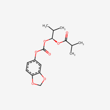 CC(C)C(=O)O[C@@H](OC(=O)Oc1ccc2c(c1)OCO2)C(C)C